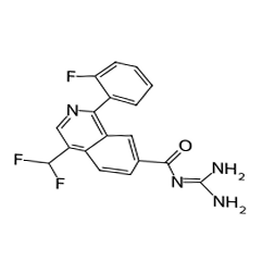 NC(N)=NC(=O)c1ccc2c(C(F)F)cnc(-c3ccccc3F)c2c1